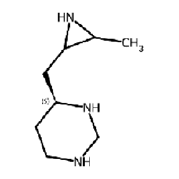 CC1NC1C[C@@H]1CCNCN1